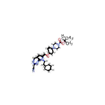 CC(C)(C)OC(=O)N1CCN(c2ccc(OCc3cc4cnc(C#N)nc4n3CCC3CCCCC3)cc2)CC1